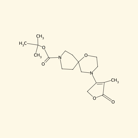 CC1=C(N2CCOC3(CCN(C(=O)OC(C)(C)C)CC3)C2)COC1=O